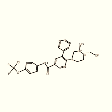 O=C(Nc1ccc(OC(F)(F)Cl)cc1)c1cnc(N2CC[C@@H](CO)[C@H](O)C2)c(-c2cncnc2)c1